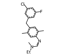 CCN(C)/C=N\c1cc(C)c(Cc2cc(F)cc(Cl)c2)cc1C